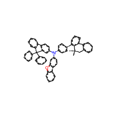 CC1(C)Cc2ccccc2-c2cccc(-c3ccc(N(c4ccc5c(c4)C(c4ccccc4)(c4ccccc4)c4ccccc4-5)c4ccc5c(c4)oc4ccccc45)cc3)c21